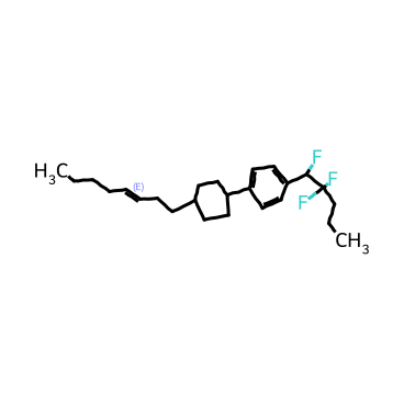 CCCC/C=C/CCC1CCC(c2ccc(C(F)C(F)(F)CCC)cc2)CC1